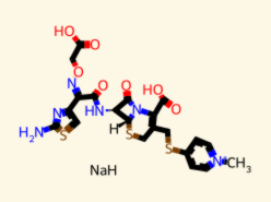 C[n+]1ccc(SCC2=C(C(=O)O)N3C(=O)[C@@H](NC(=O)/C(=N\OCC(=O)O)c4csc(N)n4)[C@H]3SC2)cc1.[NaH]